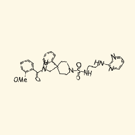 COc1ccccc1C(=O)NCC1(c2ccccc2)CCN(S(=O)(=O)NCCNc2ncccn2)CC1